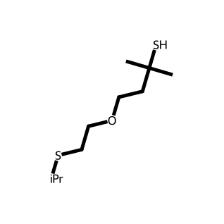 CC(C)SCCOCCC(C)(C)S